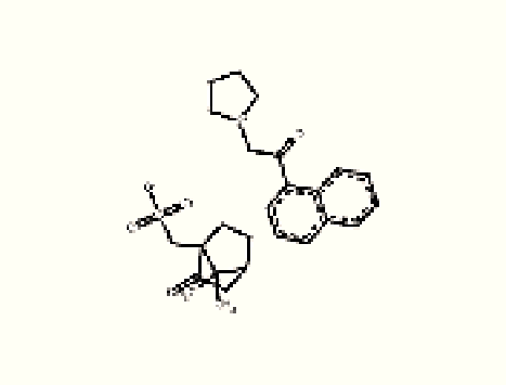 CC1(C)C2CCC1(CS(=O)(=O)[O-])C(=O)C2.O=C(C[S+]1CCCC1)c1cccc2ccccc12